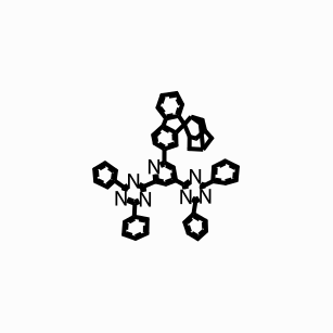 c1ccc(-c2nc(-c3ccccc3)nc(-c3cc(-c4ccc5c(c4)C4(c6ccccc6-5)C5CC6CC(C5)CC4C6)nc(-c4nc(-c5ccccc5)nc(-c5ccccc5)n4)c3)n2)cc1